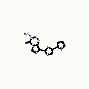 Cn1nnc2c(-c3nc(-c4cccs4)cs3)ncn2c1=O